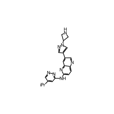 CC(C)c1cnnc(Nc2ccc3ncc(-c4cnn(C5CNC5)c4)cc3n2)c1